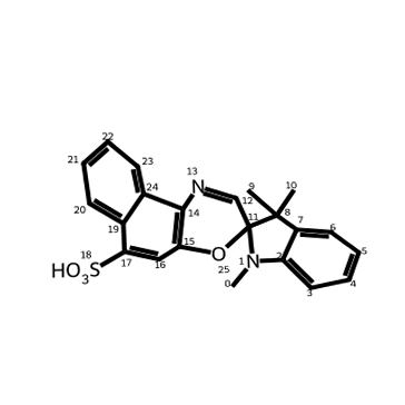 CN1c2ccccc2C(C)(C)C12C=Nc1c(cc(S(=O)(=O)O)c3ccccc13)O2